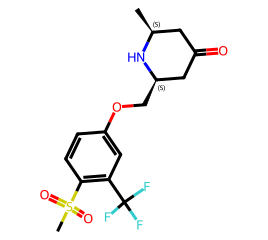 C[C@H]1CC(=O)C[C@@H](COc2ccc(S(C)(=O)=O)c(C(F)(F)F)c2)N1